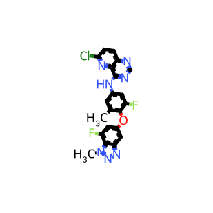 Cc1cc(Nc2ncnc3ccc(Cl)nc23)cc(F)c1Oc1cc(F)c2c(c1)nnn2C